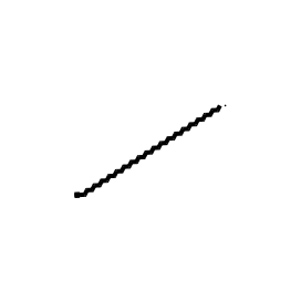 C#CCCCCCCCCCCCCCCCCCCCCCCCCCCCCCCCCCCCCC[CH2]